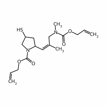 C=CCOC(=O)N(C)C/C(C)=C\C1CC(S)CN1C(=O)OCC=C